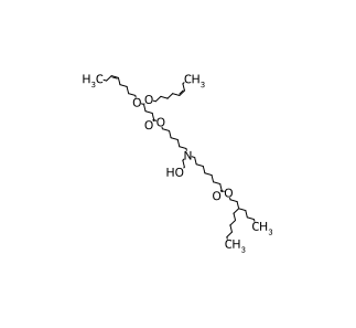 CC/C=C\CCCCOC(CCC(=O)OCCCCCCN(CCO)CCCCCCCC(=O)OCCC(CCCC)CCCCCC)OCCCC/C=C\CC